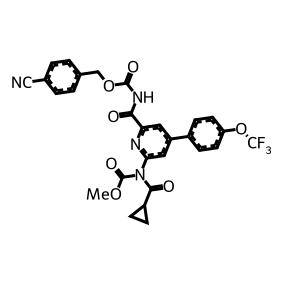 COC(=O)N(C(=O)C1CC1)c1cc(-c2ccc(OC(F)(F)F)cc2)cc(C(=O)NC(=O)OCc2ccc(C#N)cc2)n1